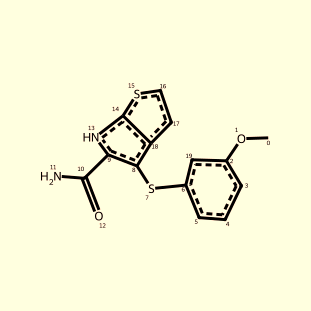 COc1cccc(Sc2c(C(N)=O)[nH]c3sccc23)c1